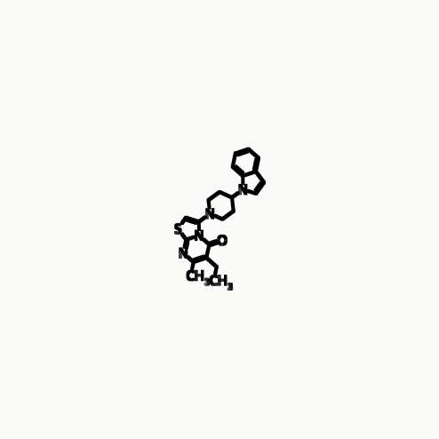 CCc1c(C)nc2scc(N3CCC(n4ccc5ccccc54)CC3)n2c1=O